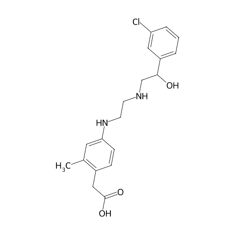 Cc1cc(NCCNCC(O)c2cccc(Cl)c2)ccc1CC(=O)O